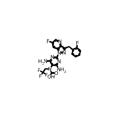 Nc1nc(-n2nc(Cc3ccccc3F)c3ncc(F)cc32)nc(N)c1N(CC(F)(F)F)C(=O)O